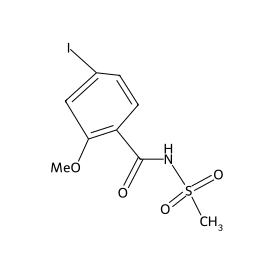 COc1cc(I)ccc1C(=O)NS(C)(=O)=O